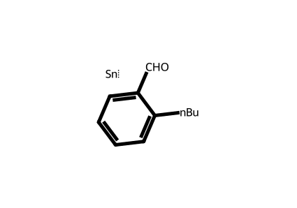 CCCCc1ccccc1C=O.[Sn]